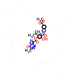 COC(=O)c1ccc2c(c1)CN(C(=O)c1cc(C(C)C)c(OC(=O)c3ncn4c(=O)n(C)nnc34)cc1O)C2